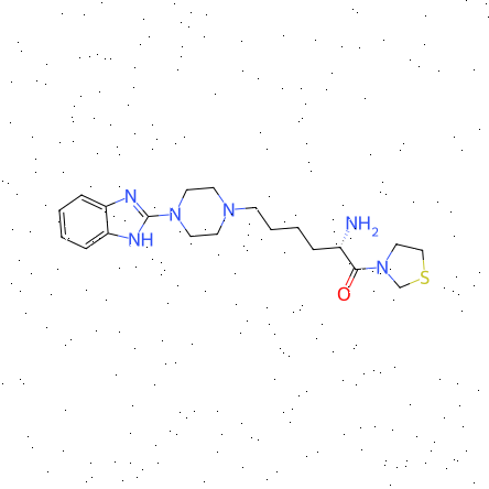 N[C@@H](CCCCN1CCN(c2nc3ccccc3[nH]2)CC1)C(=O)N1CCSC1